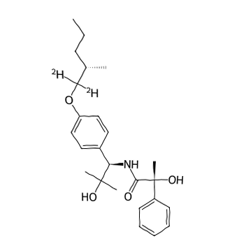 [2H]C([2H])(Oc1ccc([C@@H](NC(=O)[C@](C)(O)c2ccccc2)C(C)(C)O)cc1)[C@@H](C)CCC